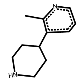 Cc1ncccc1C1CCNCC1